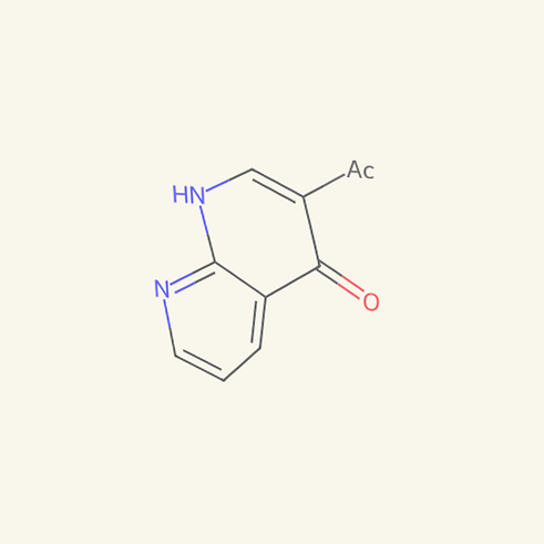 CC(=O)c1c[nH]c2ncccc2c1=O